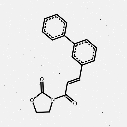 O=C(/C=C/c1cccc(-c2ccccc2)c1)N1CCOC1=O